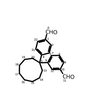 O=Cc1ccc(C2(c3cccc(C=O)c3)CCCCCCCC2)cc1